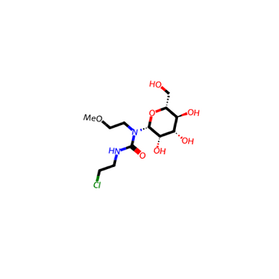 COCCN(C(=O)NCCCl)[C@@H]1O[C@H](CO)[C@@H](O)[C@H](O)[C@@H]1O